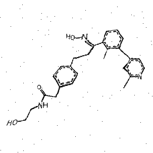 Cc1cc(-c2cccc(/C(CCc3ccc(CC(=O)NCCO)cc3)=N/O)c2C)ccn1